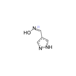 O/N=C\c1cn[nH]c1